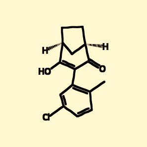 Cc1ccc(Cl)cc1C1=C(O)[C@H]2CC[C@H](C2)C1=O